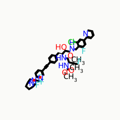 COC(=O)NC(C(=O)N[C@@H](Cc1ccc(C#Cc2ccc(N3CC4CCC(C3)N4CC(F)(F)F)nc2)cc1)[C@@H](O)CNCc1c(F)cc(-c2ccccn2)cc1Cl)C(C)(C)CF